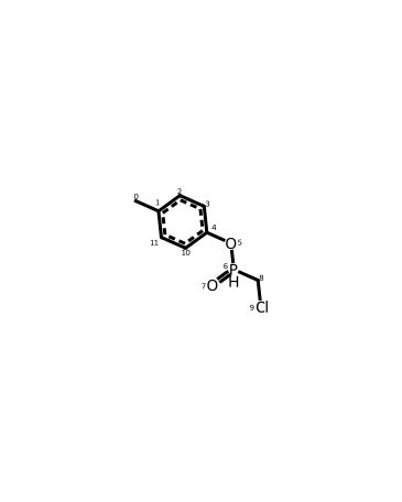 Cc1ccc(O[PH](=O)CCl)cc1